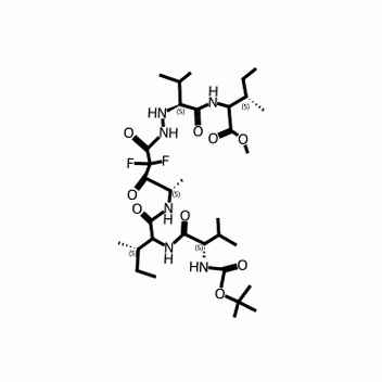 CC[C@H](C)C(NC(=O)[C@@H](NC(=O)OC(C)(C)C)C(C)C)C(=O)N[C@@H](C)C(=O)C(F)(F)C(=O)NN[C@H](C(=O)NC(C(=O)OC)[C@@H](C)CC)C(C)C